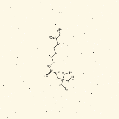 CC(C)OC(=O)CCCCCOC(=O)OCC(CO)(CI)CI